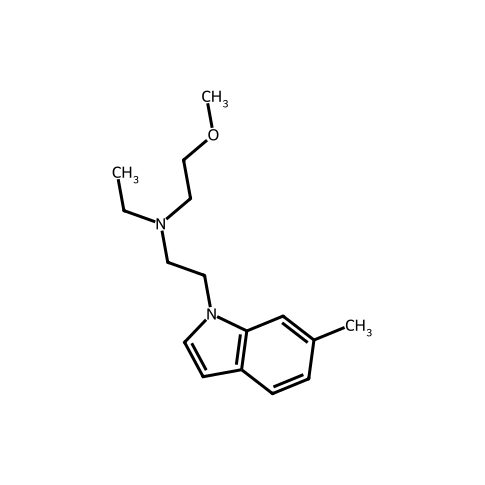 CCN(CCOC)CCn1ccc2ccc(C)cc21